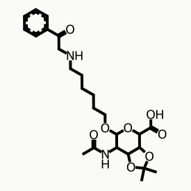 CC(=O)NC1C(OCCCCCCNCC(=O)c2ccccc2)OC(C(=O)O)C2OC(C)(C)OC12